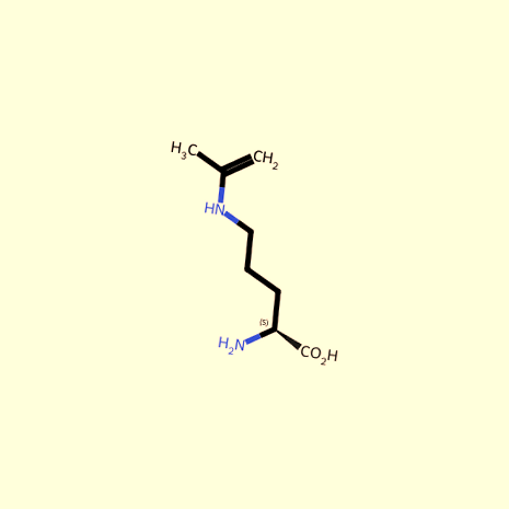 C=C(C)NCCC[C@H](N)C(=O)O